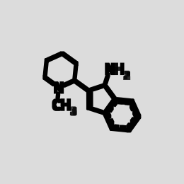 CN1CCCCC1C1=Cc2ccccc2C1N